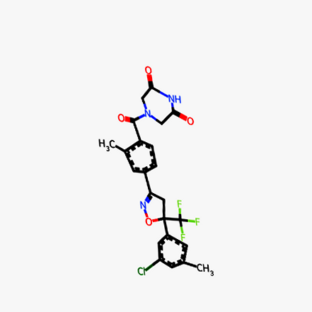 Cc1cc(Cl)cc(C2(C(F)(F)F)CC(c3ccc(C(=O)N4CC(=O)NC(=O)C4)c(C)c3)=NO2)c1